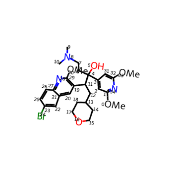 COc1cc(C(O)(CCN(C)C)C(CC2CCOCC2)c2cc3cc(Br)ccc3nc2OC)cc(OC)n1